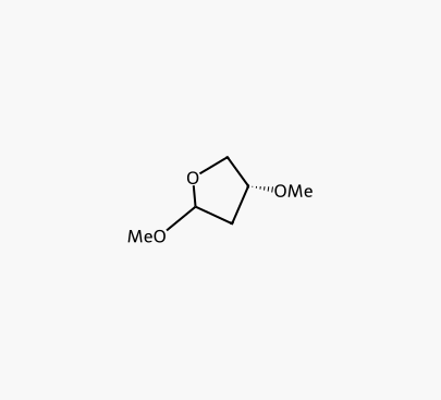 COC1C[C@@H](OC)CO1